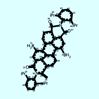 Bc1cc2c3c(ccc4c5c(B)cc6c(=O)n(-c7c(C(C)C)cccc7C(C)C)c(=C)c7ccc(c1c34)c5c76)C(=O)N(c1c(C(C)C)cccc1C(C)C)C2=O